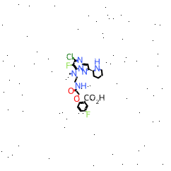 CN(CCNC(=O)COc1ccc(F)cc1C(=O)O)c1c(F)c(Cl)nc2cc([C@@H]3CCCCN3)nn12